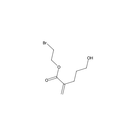 C=C(CCCO)C(=O)OCCBr